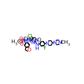 COc1cc(N2CCC(N3CCN(C)CC3)CC2)c(F)cc1Nc1ncc(Cl)c(Nc2cc3c(cc2N(C)S(C)(=O)=O)CCO3)n1